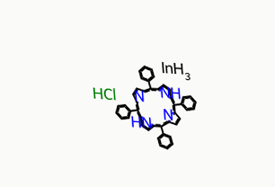 C1=Cc2nc1c(-c1ccccc1)c1ccc([nH]1)c(-c1ccccc1)c1nc(c(-c3ccccc3)c3ccc([nH]3)c2-c2ccccc2)C=C1.Cl.[InH3]